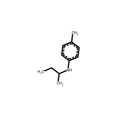 [CH2]C(CC)Nc1ccc(C)cc1